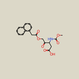 COC(=O)NC(CC(=O)O)C(=O)COC(=O)Cc1cccc2ccccc12